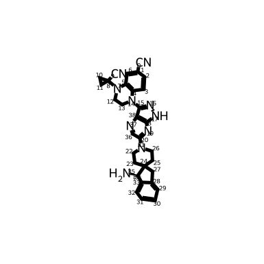 N#Cc1ccc2c(c1)N(C1(C#N)CC1)CCN2c1n[nH]c2nc(N3CCC4(CC3)Cc3ccccc3[C@H]4N)cnc12